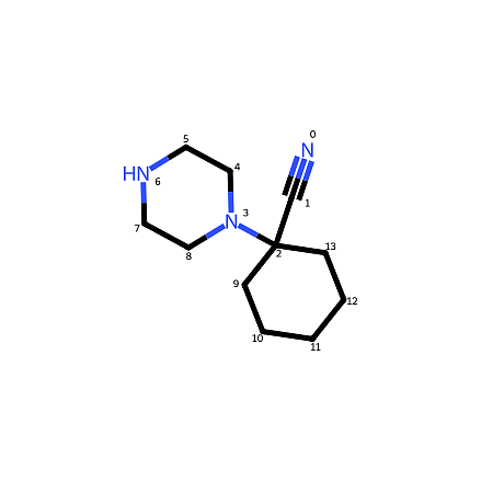 N#CC1(N2CCNCC2)CCCCC1